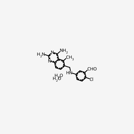 Cc1c(CNc2ccc(Cl)c(C=O)c2)ccc2nc(N)nc(N)c12.O.O